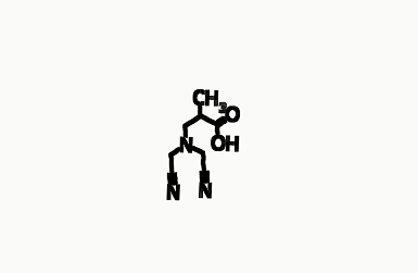 CC(CN(CC#N)CC#N)C(=O)O